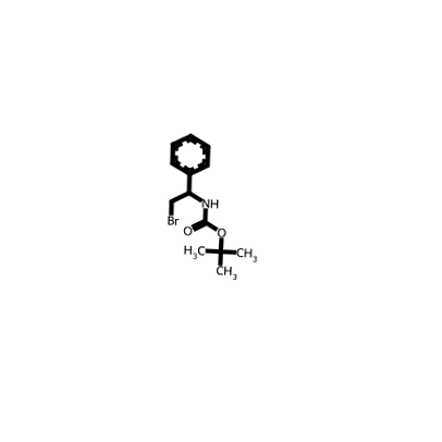 CC(C)(C)OC(=O)NC(CBr)c1ccccc1